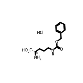 CN(CCC[C@H](N)C(=O)O)C(=O)OCc1ccccc1.Cl